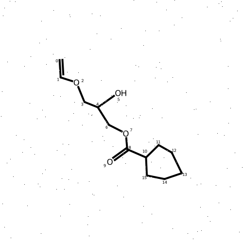 C=COCC(O)COC(=O)C1CCCCC1